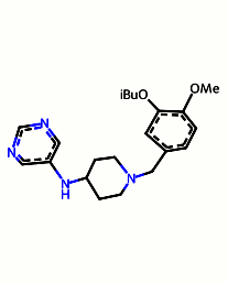 COc1ccc(CN2CCC(Nc3cncnc3)CC2)cc1OCC(C)C